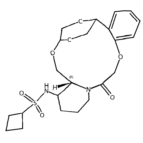 O=C1COc2ccccc2C2CCC(CC2)OC[C@H]2C(NS(=O)(=O)C3CCC3)CCCN12